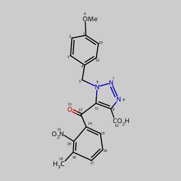 COc1ccc(Cn2nnc(C(=O)O)c2C(=O)c2cccc(C)c2[N+](=O)[O-])cc1